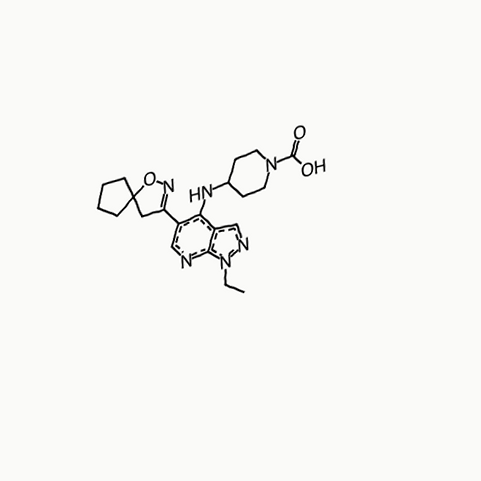 CCn1ncc2c(NC3CCN(C(=O)O)CC3)c(C3=NOC4(CCCC4)C3)cnc21